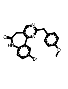 COc1ccc(Cc2ncc3c(n2)-c2cc(Br)ccc2NC(=O)C3)cc1